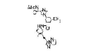 CNC(=O)c1cn(-c2cc(C(=O)Nc3ccc(C)c(C#Cc4cnc5cccnn45)c3)cc(C(F)(F)F)c2)cn1